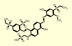 CCS(=O)(=O)c1ccc(/N=N/c2c(NCS(=O)(=O)O)ccc3c(O)c(/N=N/c4cc(OC)c(S(=O)(=O)CC)cc4O)ccc23)c(S(=O)(=O)O)c1